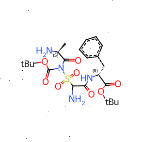 C[C@H](N)C(=O)N(C(=O)OC(C)(C)C)S(=O)(=O)C(N)C(=O)N[C@H](Cc1ccccc1)C(=O)OC(C)(C)C